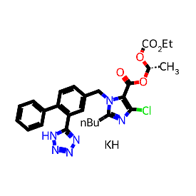 CCCCc1nc(Cl)c(C(=O)O[C@@H](C)OC(=O)OCC)n1Cc1ccc(-c2ccccc2)c(-c2nnn[nH]2)c1.[KH]